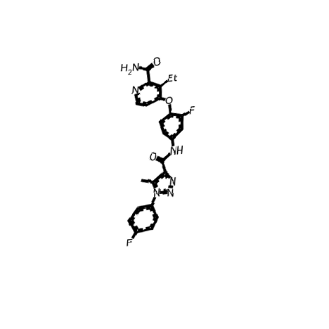 CCc1c(Oc2ccc(NC(=O)c3nnn(-c4ccc(F)cc4)c3C)cc2F)ccnc1C(N)=O